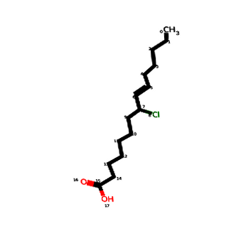 CCCCCC=CC(Cl)CCCCCCC(=O)O